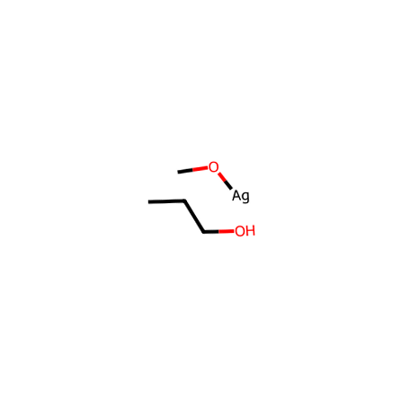 CCCO.C[O][Ag]